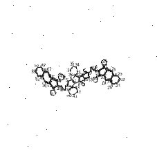 O=c1c(=NC2=CC3=C(c4sc5cc(N=c6c(=O)c7cc8ccccc8cc7c6=O)sc5c4C34CCCCC4)C23CCCCC3)c(=O)c2cc3ccccc3cc12